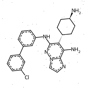 Nc1c2nccn2nc(Nc2cccc(-c3cccc(Cl)c3)c2)c1[C@H]1CC[C@H](N)CC1